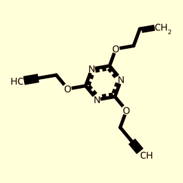 C#CCOc1nc(OCC#C)nc(OCC=C)n1